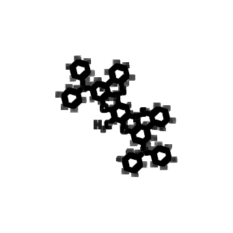 Cc1c2c(cc3c1Oc1cc(N(c4ccccc4)c4ccccc4)cc4c1B3Sc1ccccc1-4)B1Sc3ccccc3-c3cc(N(c4ccccc4)c4ccccc4)cc(c31)O2